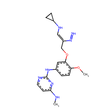 CNc1ccnc(Nc2ccc(OC)c(OC/C(=C/NC3CC3)N=N)c2)n1